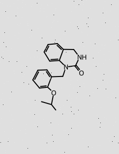 CC(C)Oc1ccccc1CN1C(=O)NCc2ccccc21